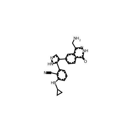 N#Cc1c(BC2CC2)cccc1-c1[nH]ncc1-c1ccc2c(=O)[nH]nc(CN)c2c1